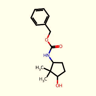 CC1(C)C(O)CCC1NC(=O)OCc1ccccc1